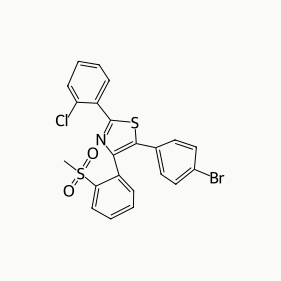 CS(=O)(=O)c1ccccc1-c1nc(-c2ccccc2Cl)sc1-c1ccc(Br)cc1